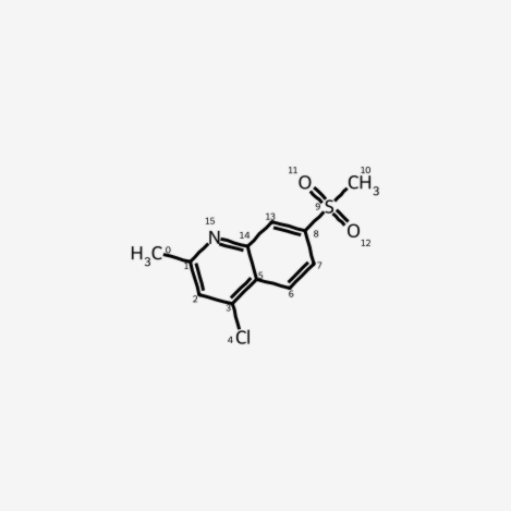 Cc1cc(Cl)c2ccc(S(C)(=O)=O)cc2n1